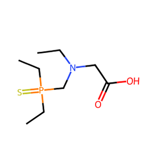 CCN(CC(=O)O)CP(=S)(CC)CC